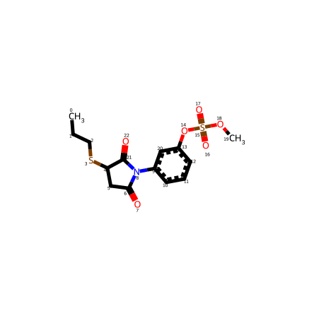 CCCSC1CC(=O)N(c2cccc(OS(=O)(=O)OC)c2)C1=O